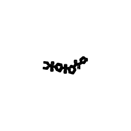 CCN(CC)S(=O)(=O)c1ccc(S(=O)(=O)N2CCCC(C(=O)NC3CCOC3)C2)cc1